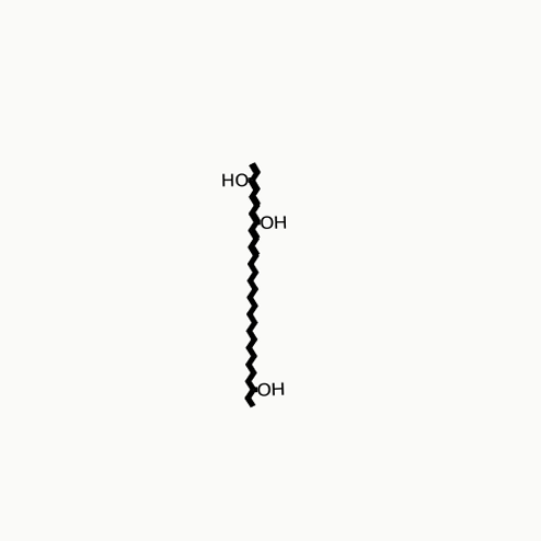 C=CC(O)=CC=CC=C(O)C=CC=CCCCCCCCCCCCCCCCC(O)CC